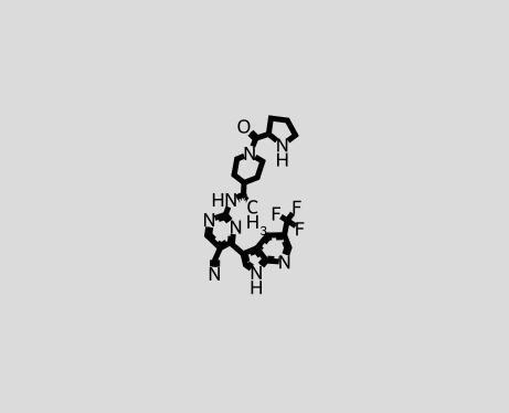 C[C@@H](Nc1ncc(C#N)c(-c2c[nH]c3ncc(C(F)(F)F)cc23)n1)C1CCN(C(=O)C2CCCN2)CC1